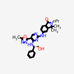 CCCN1C(=O)c2ccc(Nc3ncc(-c4nnc(C)o4)c(N[C@H](CO)c4ccccc4)n3)cc2C1(C)C